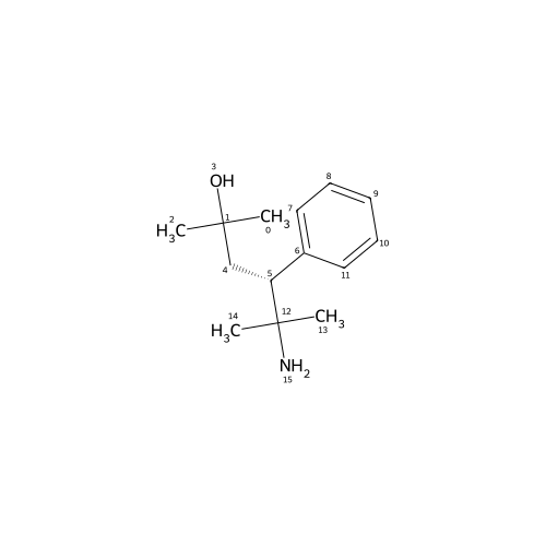 CC(C)(O)C[C@H](c1ccccc1)C(C)(C)N